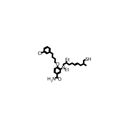 CCC(CC/C=C/CC(C)CS)CN(CC)c1cc(C(N)=O)ccc1OCCCCc1cccc(Cl)c1